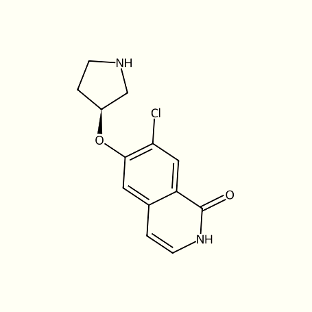 O=c1[nH]ccc2cc(O[C@H]3CCNC3)c(Cl)cc12